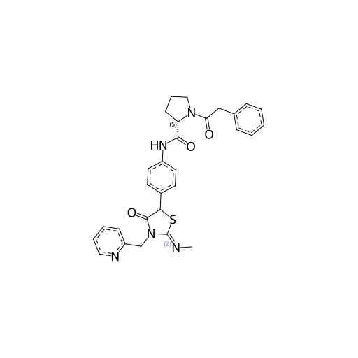 C/N=C1\SC(c2ccc(NC(=O)[C@@H]3CCCN3C(=O)Cc3ccccc3)cc2)C(=O)N1Cc1ccccn1